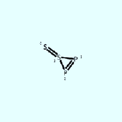 S=S1P=P1